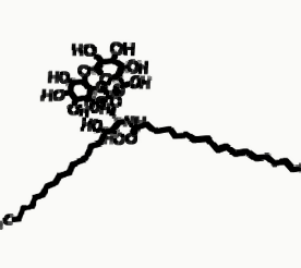 CCCCCCCCCCCCCCCCCC(=O)N[C@@H](COP(=O)(O)O[C@H]1C(O)C(O)C(O)[C@@H](O)C1O[C@H]1O[C@H](CO)[C@@H](O)C(O)C1O)[C@H](O)[C@H](O)CCCCCCCCCCCCCC